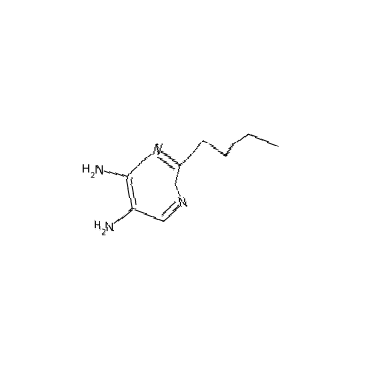 CCCCc1ncc(N)c(N)n1